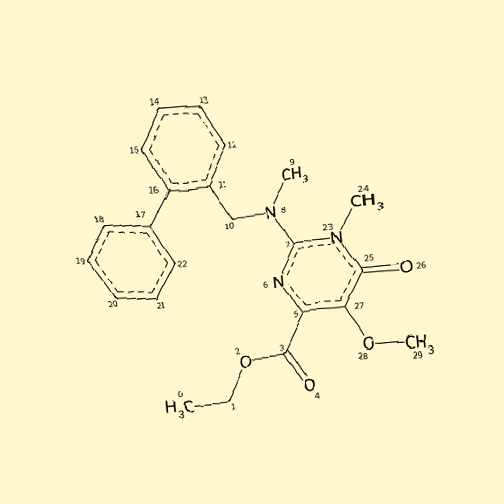 CCOC(=O)c1nc(N(C)Cc2ccccc2-c2ccccc2)n(C)c(=O)c1OC